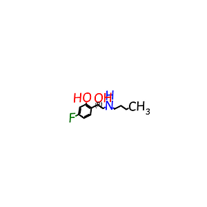 CCCCNC[C@H](O)c1ccc(F)cc1O